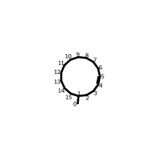 CC1CCC=CCCCCCCCCCC1